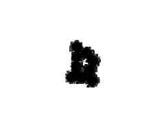 c1ccc(-c2ccc(-c3ccc(-n4c5ccccc5c5ccc(N(c6ccccc6)c6ccc(-c7cccc(-c8ccccc8)c7)cc6)cc54)cc3)cc2)cc1